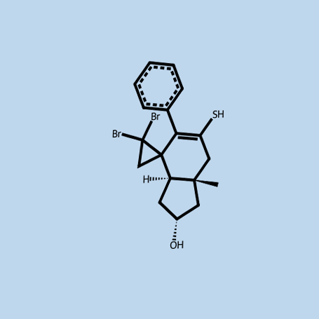 C[C@]12CC(S)=C(c3ccccc3)C3(CC3(Br)Br)[C@@H]1C[C@@H](O)C2